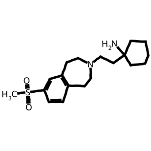 CS(=O)(=O)c1ccc2c(c1)CCN(CCC1(N)CCCCC1)CC2